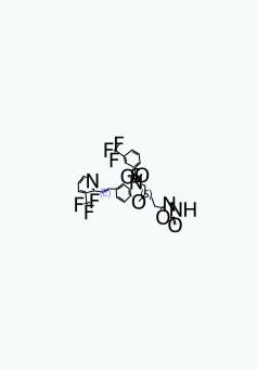 O=c1[nH]nc(CC[C@H]2CN(S(=O)(=O)c3cccc(C(F)(F)F)c3)c3cc(/C=C/c4ncccc4C(F)(F)F)ccc3O2)o1